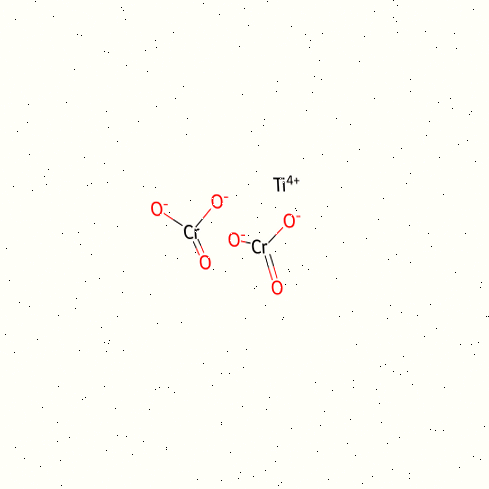 [O]=[Cr]([O-])[O-].[O]=[Cr]([O-])[O-].[Ti+4]